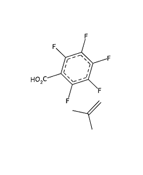 C=C(C)C.O=C(O)c1c(F)c(F)c(F)c(F)c1F